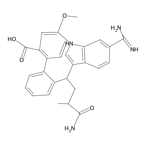 COc1ccc(-c2ccccc2C(CC(C)C(N)=O)c2c[nH]c3cc(C(=N)N)ccc23)c(C(=O)O)c1